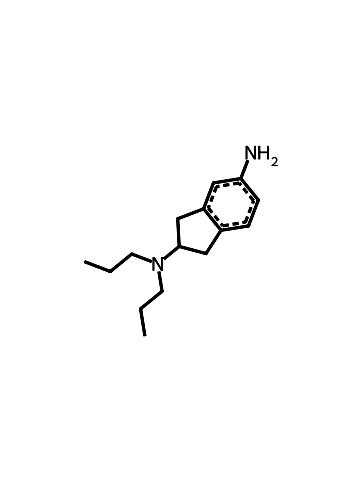 CCCN(CCC)C1Cc2ccc(N)cc2C1